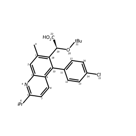 Cc1cc2nc(C(C)C)ccc2c(-c2ccc(Cl)cc2)c1[C@H](OC(C)(C)C)C(=O)O